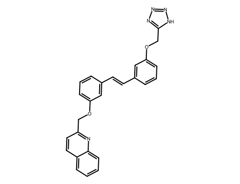 C(=Cc1cccc(OCc2nnn[nH]2)c1)c1cccc(OCc2ccc3ccccc3n2)c1